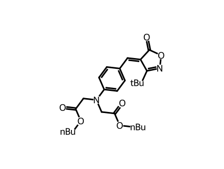 CCCCOC(=O)CN(CC(=O)OCCCC)c1ccc(C=C2C(=O)ON=C2C(C)(C)C)cc1